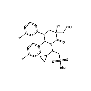 CCCCS(=O)(=O)CC(C1CC1)N1C(=O)C(CC)(CC(=O)O)CC(c2cccc(Cl)c2)C1c1ccc(Cl)cc1